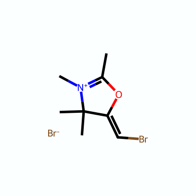 CC1=[N+](C)C(C)(C)C(=CBr)O1.[Br-]